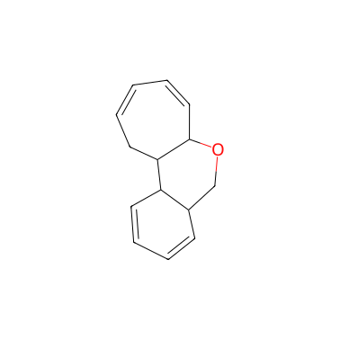 C1=CCC2C(C=C1)OCC1C=CC=CC12